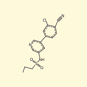 CCCS(=O)(=O)Nc1cncc(-c2ccc(C#N)c(Cl)c2)c1